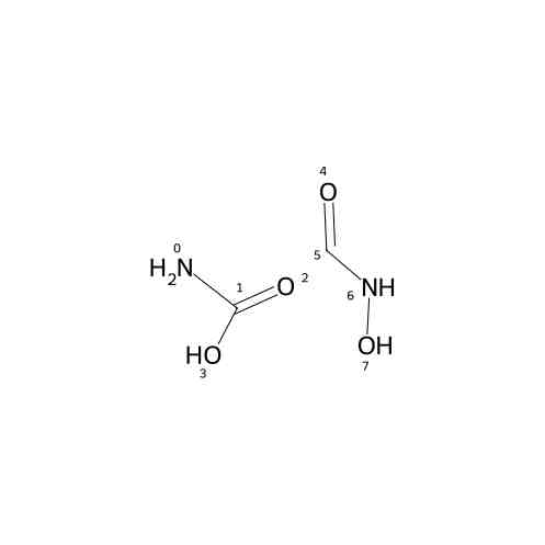 NC(=O)O.O=CNO